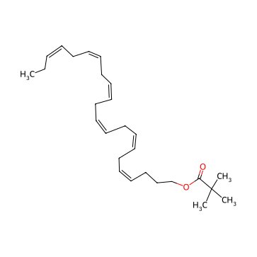 CC/C=C\C/C=C\C/C=C\C/C=C\C/C=C\C/C=C\CCCOC(=O)C(C)(C)C